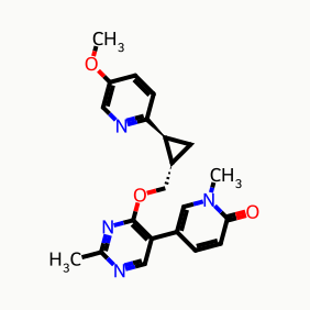 COc1ccc([C@H]2C[C@@H]2COc2nc(C)ncc2-c2ccc(=O)n(C)c2)nc1